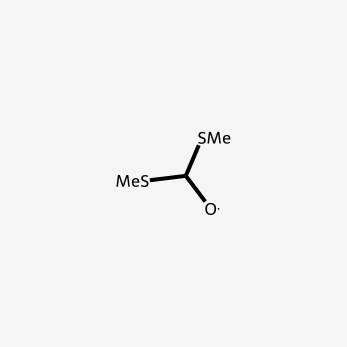 CSC([O])SC